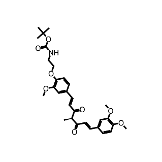 COc1ccc(/C=C/C(=O)[C@@H](C)C(=O)/C=C/c2ccc(OCCNC(=O)OC(C)(C)C)c(OC)c2)cc1OC